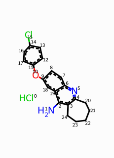 Cl.Nc1c2c(nc3ccc(Oc4ccc(Cl)cc4)cc13)CCCCC2